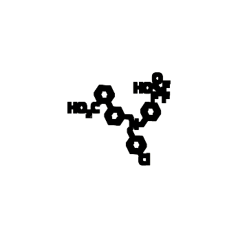 O=C(O)C(F)(F)F.O=C(O)c1ccccc1-c1cccc(CN(Cc2ccccc2)Cc2ccc(Cl)cc2)c1